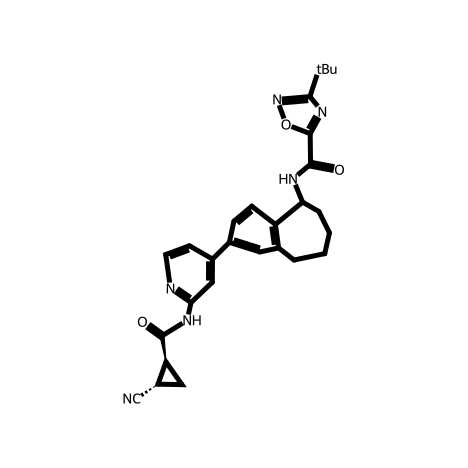 CC(C)(C)c1noc(C(=O)NC2CCCCc3cc(-c4ccnc(NC(=O)[C@H]5C[C@@H]5C#N)c4)ccc32)n1